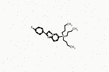 CCC[CH2][Sn]([CH2]CCC)([CH2]CCC)[c]1ccc2nc(-c3ccc(F)cc3)cn2c1